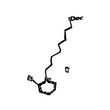 CCCCCCCCCCCCCCCCCC[n+]1ccccc1CC.[Cl-]